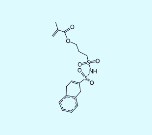 C=C(C)C(=O)OCCCS(=O)(=O)NS(=O)(=O)C1=CCc2ccccc2C1